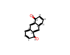 O=C1C=CC=c2cc3c(cc21)=CC=CC3=O